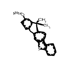 COc1ccc2c(c1)C(C)(C)c1cc3c(cc1-2)sc1ccccc13